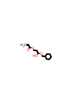 C=CC(=O)OCCC(O)OCC1CCCCC1